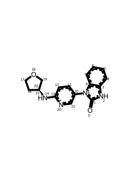 O=c1[nH]c2ccccc2n1-c1ccc(N[C@H]2CCOC2)nc1